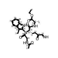 CCOC(=O)[C@H](C)NC(=O)[C@H](CCC(=O)C=N)N(C(=O)CNC(C)=O)c1[nH]c2ccccc2c1C